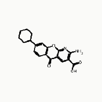 Nc1nc2oc3cc(C4CCCCC4)ccc3c(=O)c2cc1C(=O)O